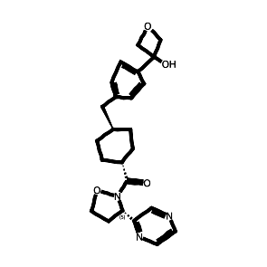 O=C([C@H]1CC[C@H](Cc2ccc(C3(O)COC3)cc2)CC1)N1OCC[C@H]1c1cnccn1